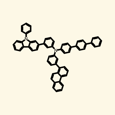 c1ccc(-c2ccc(-c3ccc(N(c4cccc(-c5ccc6c7ccccc7n(-c7ccccc7)c6c5)c4)c4cccc(-c5cccc6c5ccc5ccccc56)c4)cc3)cc2)cc1